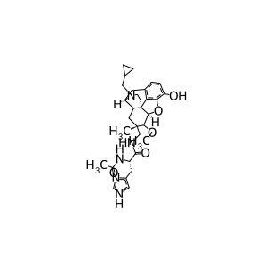 COC1[C@@H]2Oc3c(O)ccc4c3[C@@]23CCN(CC2CC2)[C@H](C4)C3C[C@@]1(C)CNC(=O)[C@H](Cc1c[nH]cn1)NC(C)=O